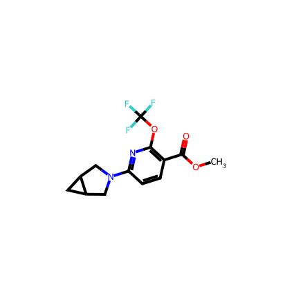 COC(=O)c1ccc(N2CC3CC3C2)nc1OC(F)(F)F